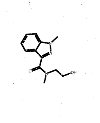 CN(CCO)C(=O)c1nn(C)c2ccccc12